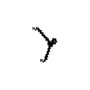 CCCCCCCCCCCCCOS(=O)(=O)C(F)CCCCCCCCCCC.c1ccncc1